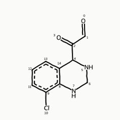 O=CC(=O)C1NCNc2c(Cl)cccc21